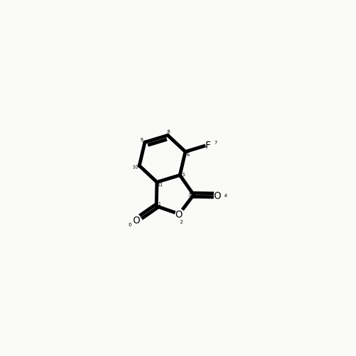 O=C1OC(=O)C2C(F)C=CCC12